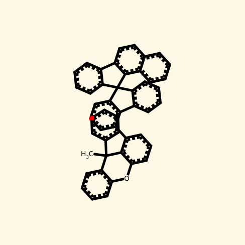 CC1(c2ccccc2)c2ccccc2Oc2cccc(-c3cccc4c3-c3ccccc3C43c4ccccc4-c4ccc5ccccc5c43)c21